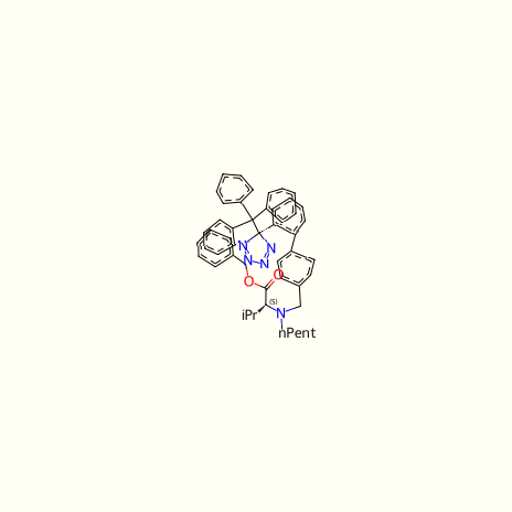 CCCCCN(Cc1ccc(-c2ccccc2C2(C(c3ccccc3)(c3ccccc3)c3ccccc3)N=NN=N2)cc1)[C@H](C(=O)OCc1ccccc1)C(C)C